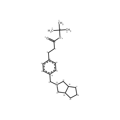 CC(C)(C)OC(=O)CCc1ccc(CN2CC3CCCC3C2)cc1